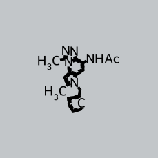 CC(=O)Nc1cc2c(cc(C)n2Cc2ccccc2)n2c(C)nnc12